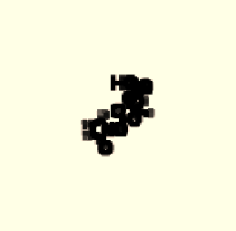 CC(C)(CS(=O)(=O)O)OC(=O)ON1CCCC1=O